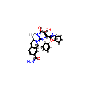 Cn1c(N2CCc3ccc(C(N)=O)cc3[C@H]2c2ccccc2)nc(-c2nc3c(o2)CCC3)c(O)c1=O